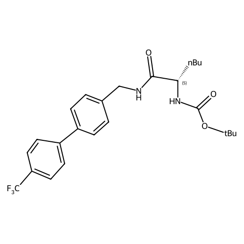 CCCC[C@H](NC(=O)OC(C)(C)C)C(=O)NCc1ccc(-c2ccc(C(F)(F)F)cc2)cc1